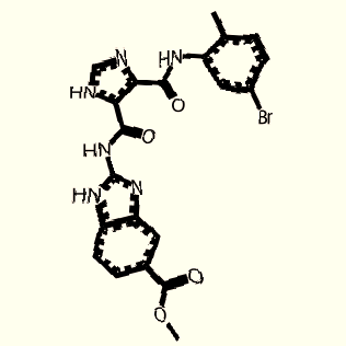 COC(=O)c1ccc2[nH]c(NC(=O)c3[nH]cnc3C(=O)Nc3cc(Br)ccc3C)nc2c1